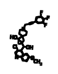 COc1ccc2ncc(Cl)c([C@H](O)CCC3(C(=O)O)CCN(CC#Cc4cc(F)c(F)c(F)c4)CC3)c2c1